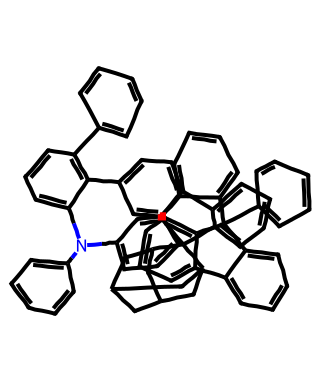 c1ccc(-c2cccc(N(c3ccccc3)c3cccc(-c4ccccc4C4(c5ccccc5)c5ccccc5-c5ccccc54)c3)c2-c2ccc3c(c2)C2(c4ccccc4-3)C3CC4CC(C3)CC2C4)cc1